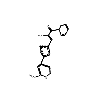 CC1=CC(c2ccc(/C=C(\C)C(=O)C3C=CC=CC3)s2)=CCN1